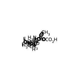 CN1CCN(c2cc(C(N)=O)c(C(=O)Nc3n[nH]c4c3CN(S(=O)(=O)c3cc(F)cc(F)c3)C4(C)C)cc2N2CCC(C(=O)O)CC2)CC1